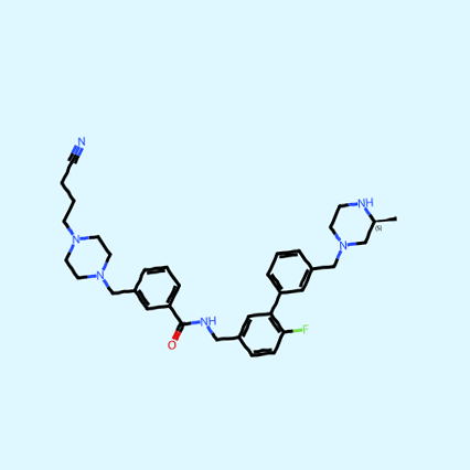 C[C@H]1CN(Cc2cccc(-c3cc(CNC(=O)c4cccc(CN5CCN(CCCC#N)CC5)c4)ccc3F)c2)CCN1